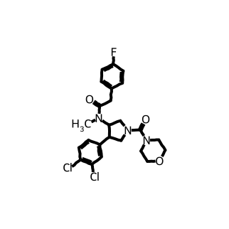 CN(C(=O)Cc1ccc(F)cc1)C1CN(C(=O)N2CCOCC2)CC1c1ccc(Cl)c(Cl)c1